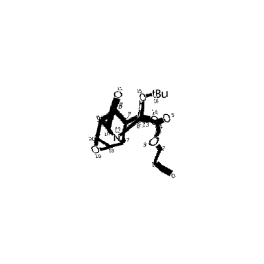 C=CCOC(=O)NC1CC2C(=O)N(C(=O)OC(C)(C)C)C1C1OC21